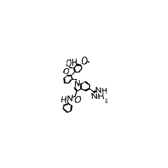 COc1ccc(-c2ccccc2Cn2cc(C(=O)Nc3ccccc3)c3cc(C(=N)N)ccc32)c(C(=O)O)c1